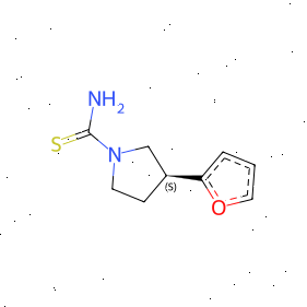 NC(=S)N1CC[C@H](c2ccco2)C1